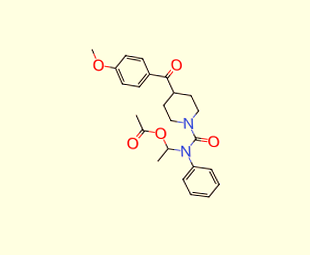 COc1ccc(C(=O)C2CCN(C(=O)N(c3ccccc3)C(C)OC(C)=O)CC2)cc1